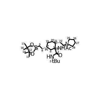 CC(=O)N[C@]1(C(=O)NC(C)(C)C)C[C@H](CCB2OC(C)(C)C(C)(C)O2)CC[C@@H]1CCN1CCCC1